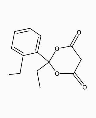 CCc1ccccc1C1(CC)OC(=O)CC(=O)O1